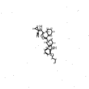 CCCOc1cccc2c3c([nH]c12)CCN(C(=O)[C@@H]1CCCC[C@H]1C(=O)NC1(C#N)CC1)C3